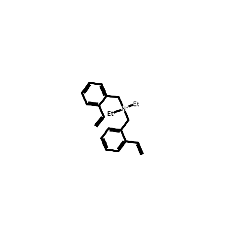 C=Cc1ccccc1C[N+](CC)(CC)Cc1ccccc1C=C